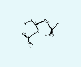 CCC(OC(C)=O)OC(=O)O